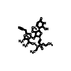 CCOP(=O)(/C=C/[C@H]1O[C@@H](N2C=CC(=O)NC2O)C(OC)C1OP(OCCC#N)N(C(C)C)C(C)C)OCC